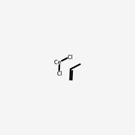 C=CC.[Cl][Ce][Cl]